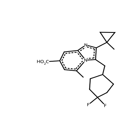 Cc1cc(C(=O)O)cc2nc(C3(C)CC3)c(CC3CCC(F)(F)CC3)n12